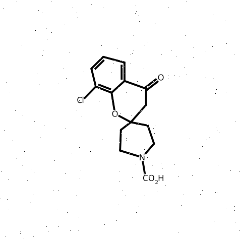 O=C1CC2(CCN(C(=O)O)CC2)Oc2c(Cl)cccc21